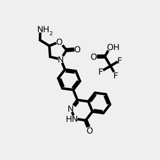 NCC1CN(c2ccc(-c3n[nH]c(=O)c4ccccc34)cc2)C(=O)O1.O=C(O)C(F)(F)F